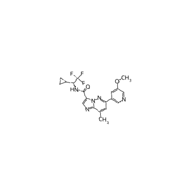 COc1cncc(-c2cc(C)c3ncc(C(=O)N[C@@H](C4CC4)C(F)(F)F)n3n2)c1